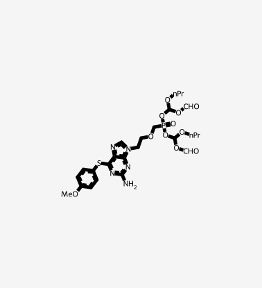 CCCOC(OC=O)OP(=O)(COCCn1cnc2c(Sc3ccc(OC)cc3)nc(N)nc21)OC(OC=O)OCCC